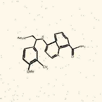 CNC[C@@H](Nc1ccnc2c(C(N)=O)cccc12)c1ccc(OC)c(C)c1